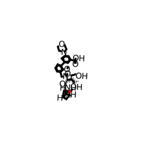 COc1c(CN2OC(CO)[C@@H]([C@H](C)O)[C@H]2C(=O)N[C@H]2C[C@H]3C[C@@H](C2C)C3(C)C)cccc1-c1cc(C(=O)O)cc(N2CCOCC2)c1